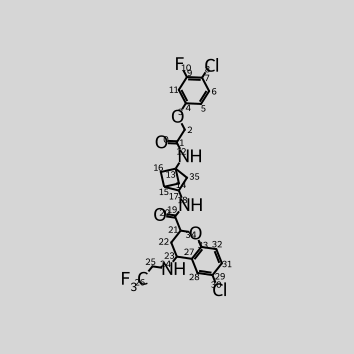 O=C(COc1ccc(Cl)c(F)c1)NC12CC(C1)C(NC(=O)C1CC(NCC(F)(F)F)c3cc(Cl)ccc3O1)C2